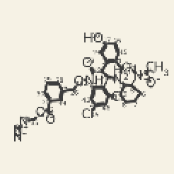 C[S+]([O-])N(N)[C@H]1CCCCC1N1C(=O)c2ccc(O)cc2[C@@H](C(=O)NOCc2cccc(C(=O)OCN=[N+]=[N-])c2)[C@@H]1c1ccc(Cl)cc1Cl